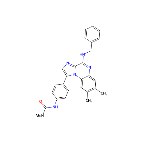 CNC(=O)Nc1ccc(-c2cnc3c(NCc4ccccc4)nc4cc(C)c(C)cc4n23)cc1